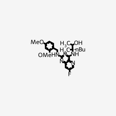 CCCC[C@@](C)(Nc1nc(NCc2ccc(OC)cc2OC)nc2cc(F)cnc12)C(C)O